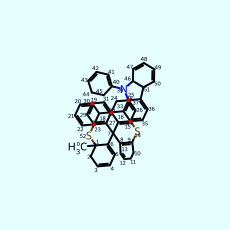 CC12CC=CC=C1C1(C3=C(CCC=C3)SC3=C1C(C1C=CC=CC1)CC=C3)c1c(cccc1-c1cccc3c1N(C1=CC=CCC1)C1C=CC=CC31)S2